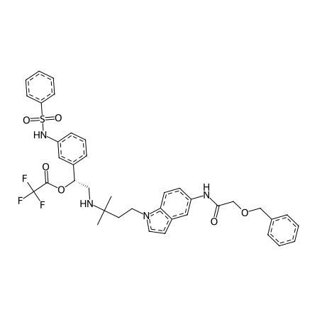 CC(C)(CCn1ccc2cc(NC(=O)COCc3ccccc3)ccc21)NC[C@H](OC(=O)C(F)(F)F)c1cccc(NS(=O)(=O)c2ccccc2)c1